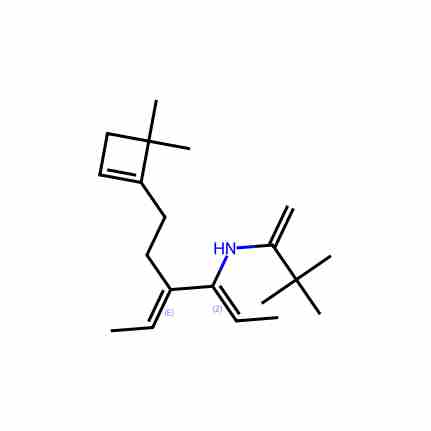 C=C(NC(=C\C)/C(=C/C)CCC1=CCC1(C)C)C(C)(C)C